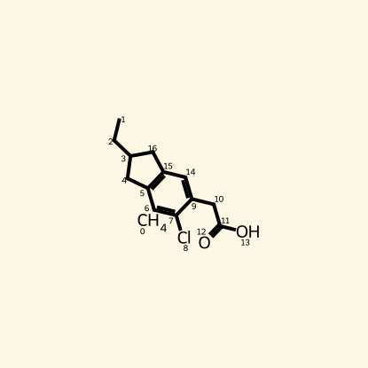 C.CCC1Cc2cc(Cl)c(CC(=O)O)cc2C1